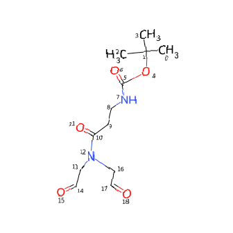 CC(C)(C)OC(=O)NCCC(=O)N(CC=O)CC=O